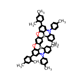 Cc1ccc(N2c3ccc(C)cc3B3c4cc5c(cc4Oc4cc(-c6ccc(C)cc6C)cc2c43)Oc2cc(-c3ccc(C)cc3C)cc3c2B5c2cc(C)ccc2N3c2ccc(C)cc2)cc1